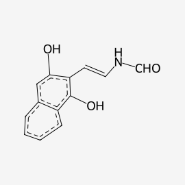 O=CNC=Cc1c(O)cc2ccccc2c1O